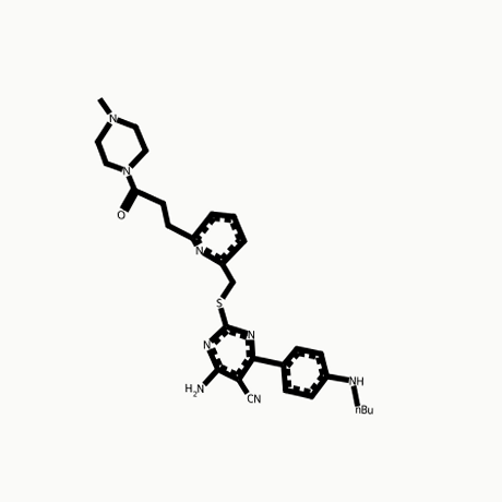 CCCCNc1ccc(-c2nc(SCc3cccc(CCC(=O)N4CCN(C)CC4)n3)nc(N)c2C#N)cc1